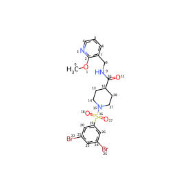 COc1ncccc1CNC(=O)C1CCN(S(=O)(=O)c2cc(Br)cc(Br)c2)CC1